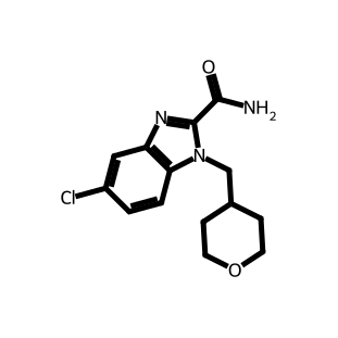 NC(=O)c1nc2cc(Cl)ccc2n1CC1CCOCC1